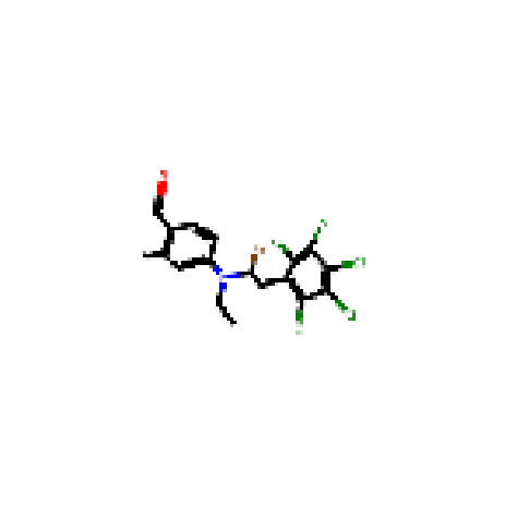 CCN(c1ccc(C=O)c(C)c1)C(S)Cc1c(Cl)c(Cl)c(Cl)c(Cl)c1Cl